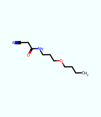 CCCCOCCCNC(=O)CC#N